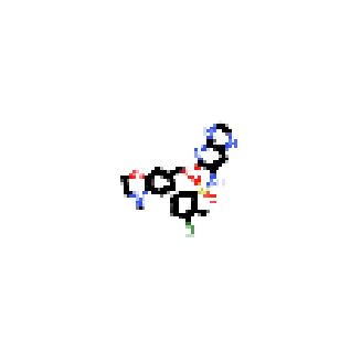 Cc1c(Cl)cccc1S(=O)(=O)Nc1cc2nccnc2nc1OCc1ccc2c(c1)OCCN2C